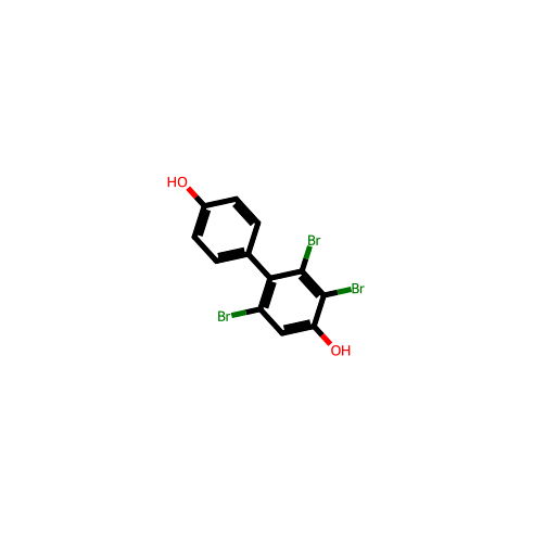 Oc1ccc(-c2c(Br)cc(O)c(Br)c2Br)cc1